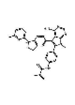 C=C(C)C(=O)Nc1ccc(-c2c(-c3ccc4c(c3)CO[C@H]4c3cccc(C)n3)c3c(N)ncnc3n2C)cc1